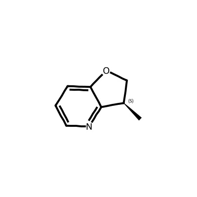 C[C@@H]1COc2cccnc21